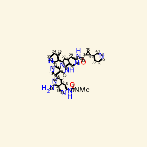 CNC(=O)Nc1cc2cc(-c3cnccc3CNc3nc(-c4cnccc4C)cc4cc(NC(=O)[C@@H]5C[C@H]5c5cccnc5)ncc34)nc(N)c2cn1